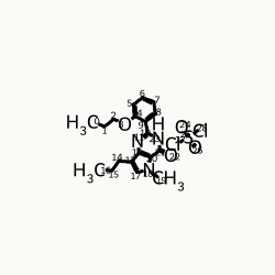 CCCOc1ccccc1-c1nc2c(CCC)cn(C)c2c(=O)[nH]1.O=S(=O)(Cl)Cl